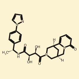 C[C@@H](NC(=O)[C@H](O)[C@@H](O)C(=O)N1C[C@H]2C[C@@H](C1)c1cccc(=O)n1C2)c1ccc(-n2cccn2)cc1